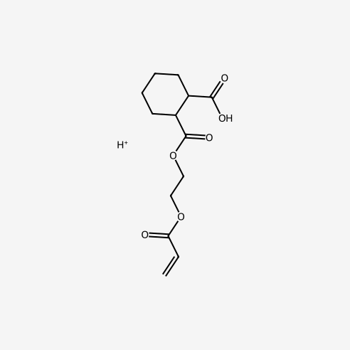 C=CC(=O)OCCOC(=O)C1CCCCC1C(=O)O.[H+]